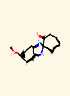 COc1ccc2c(c1)=NC1(CCCCC1=O)N=2